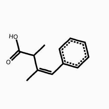 CC(=Cc1ccccc1)C(C)C(=O)O